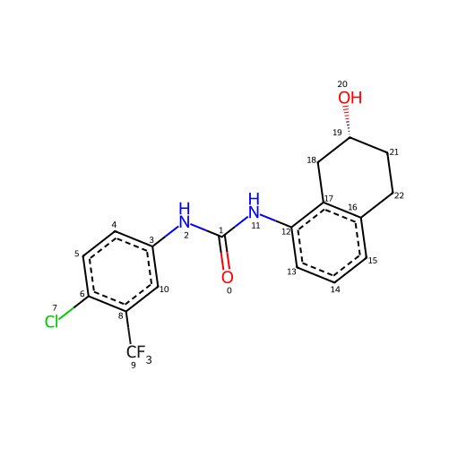 O=C(Nc1ccc(Cl)c(C(F)(F)F)c1)Nc1cccc2c1C[C@H](O)CC2